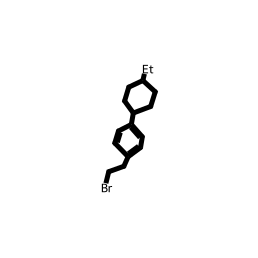 CCC1CCC(c2ccc(CCBr)cc2)CC1